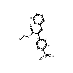 CCOC(=O)C(=Cc1ccccc1)c1ccc([N+](=O)[O-])cc1